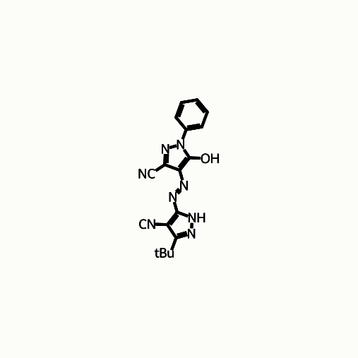 [C-]#[N+]c1c(C(C)(C)C)n[nH]c1/N=N/c1c(C#N)nn(-c2ccccc2)c1O